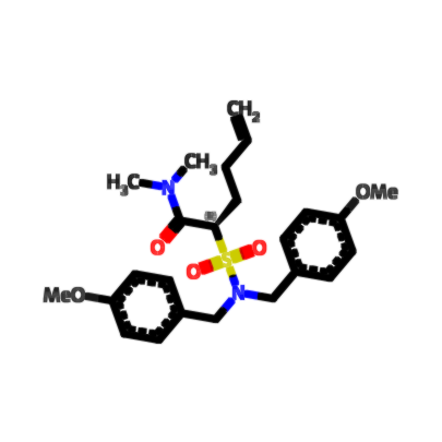 C=CCC[C@H](C(=O)N(C)C)S(=O)(=O)N(Cc1ccc(OC)cc1)Cc1ccc(OC)cc1